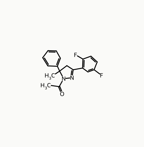 CC(=O)N1N=C(c2cc(F)ccc2F)CC1(C)c1ccccc1